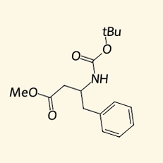 COC(=O)CC(Cc1ccccc1)NC(=O)OC(C)(C)C